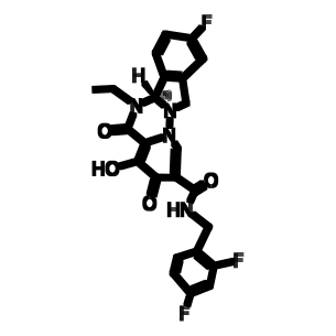 CCN1C(=O)c2c(O)c(=O)c(C(=O)NCc3ccc(F)cc3F)cn2N2Cc3cc(F)ccc3[C@@H]12